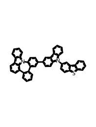 c1ccc2c(c1)-c1cc(-c3ccc4c(c3)c3ccccc3n4-c3ccc4sc5ccccc5c4c3)ccc1-n1c3ccccc3c3cccc-2c31